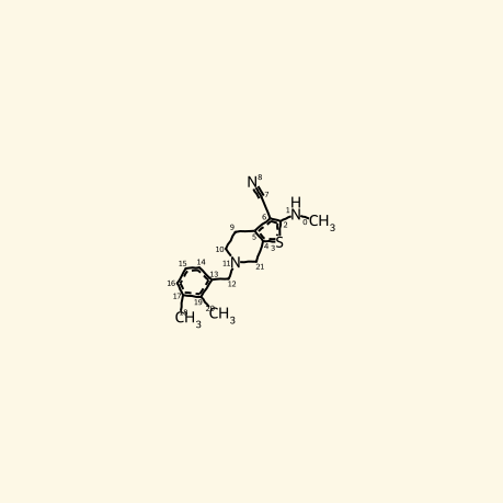 CNc1sc2c(c1C#N)CCN(Cc1cccc(C)c1C)C2